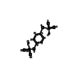 O=S(=O)(F)Oc1ccc(OS(=O)(=O)F)cc1